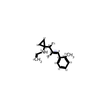 C=CNC1(C(F)/C(F)=C/c2ccccc2C)CC1